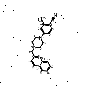 N#Cc1ccc(N2CCN(Cc3ccc4ccccc4n3)CC2)cc1Cl